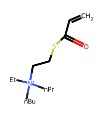 C=CC(=O)SCC[N+](CC)(CCC)CCCC